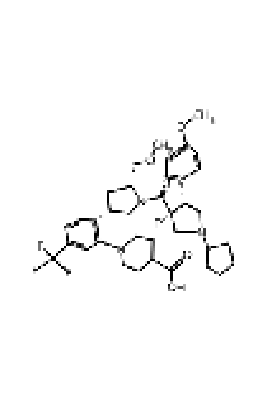 COC[C@H]1C[C@@H](c2ccc(C(F)(F)F)cc2N2CCC(C(=O)O)CC2)CN1C(=O)[C@]1(F)CN(C2CCCC2)C[C@H]1c1ccc(OC)cc1